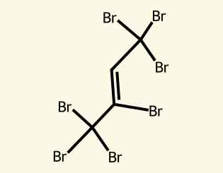 BrC(=CC(Br)(Br)Br)C(Br)(Br)Br